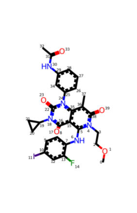 COCCn1c(Nc2ccc(I)cc2F)c2c(=O)n(C3CC3)c(=O)n(-c3cccc(NC(C)=O)c3)c2c(C)c1=O